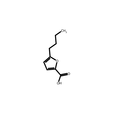 CCCCc1ccc(C(=O)O)o1